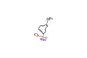 CCCc1ccc(S([NH])(=O)=O)cc1